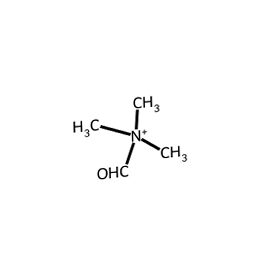 C[N+](C)(C)C=O